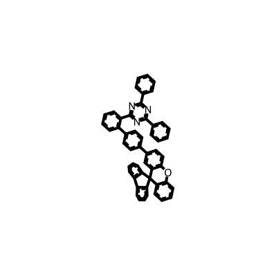 c1ccc(-c2nc(-c3ccccc3)nc(-c3ccccc3-c3ccc(-c4ccc5c(c4)C4(c6ccccc6O5)c5ccccc5-c5ccccc54)cc3)n2)cc1